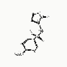 CC(=O)Nc1ccc(S(=O)(=O)N[C@H]2CCOC2=O)cc1